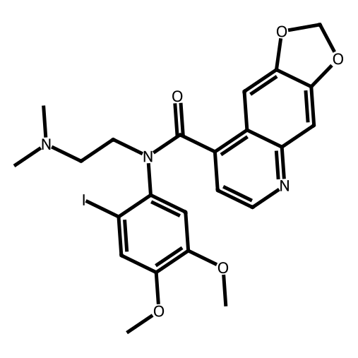 COc1cc(I)c(N(CCN(C)C)C(=O)c2ccnc3cc4c(cc23)OCO4)cc1OC